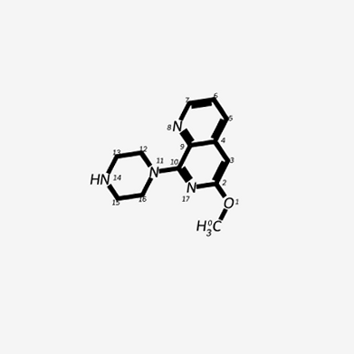 COc1cc2cccnc2c(N2CCNCC2)n1